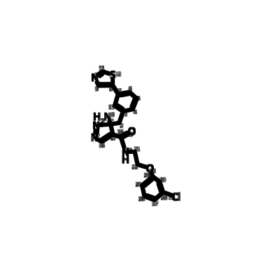 NC1(Cc2cccc(-c3cncs3)c2)N=NC=C1C(=O)NCCOc1cccc(Cl)c1